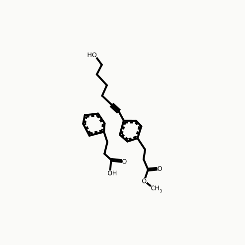 COC(=O)CCc1ccc(C#CCCCCO)cc1.O=C(O)CCc1ccccc1